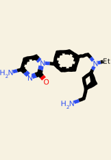 CCN(Cc1ccc(-n2ccc(N)nc2=O)cc1)C12CC(CN)(C1)C2